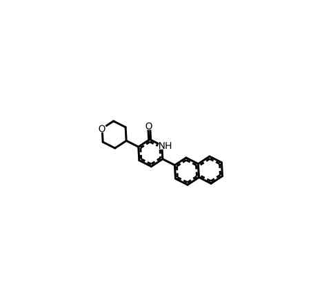 O=c1[nH]c(-c2ccc3ccccc3c2)ccc1C1CCOCC1